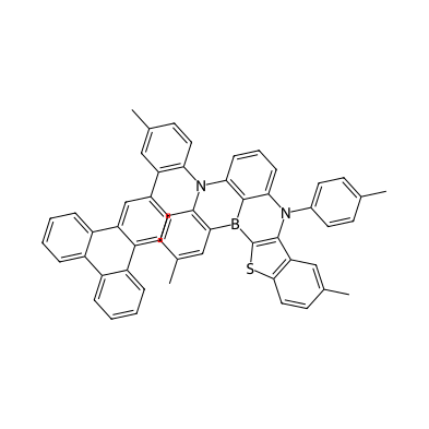 Cc1ccc(N2c3cccc4c3B(c3cc(C)ccc3N4c3ccc(C)cc3-c3ccc4c5ccccc5c5ccccc5c4c3)c3sc4ccc(C)cc4c32)cc1